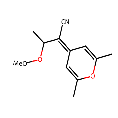 COOC(C)C(C#N)=C1C=C(C)OC(C)=C1